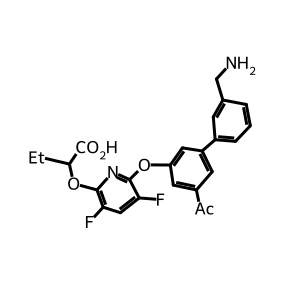 CCC(Oc1nc(Oc2cc(C(C)=O)cc(-c3cccc(CN)c3)c2)c(F)cc1F)C(=O)O